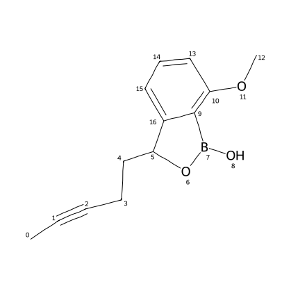 CC#CCCC1OB(O)c2c(OC)cccc21